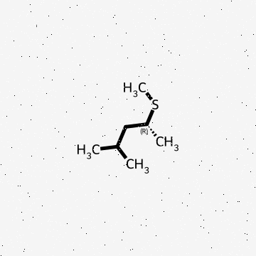 CS[C@H](C)CC(C)C